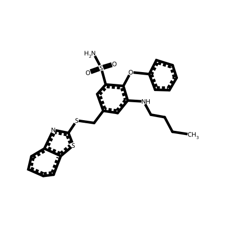 CCCCNc1cc(CSc2nc3ccccc3s2)cc(S(N)(=O)=O)c1Oc1ccccc1